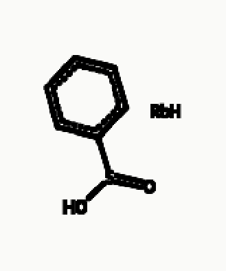 O=S(O)c1ccccc1.[RbH]